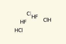 Cl.Cl.F.F.[C]